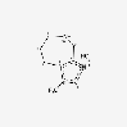 Cl.FC(F)(F)c1nnc2n1CCCNC2